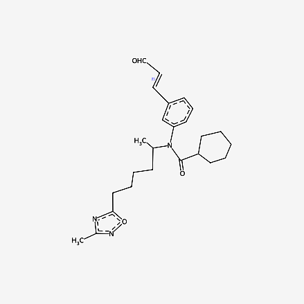 Cc1noc(CCCCC(C)N(C(=O)C2CCCCC2)c2cccc(/C=C/C=O)c2)n1